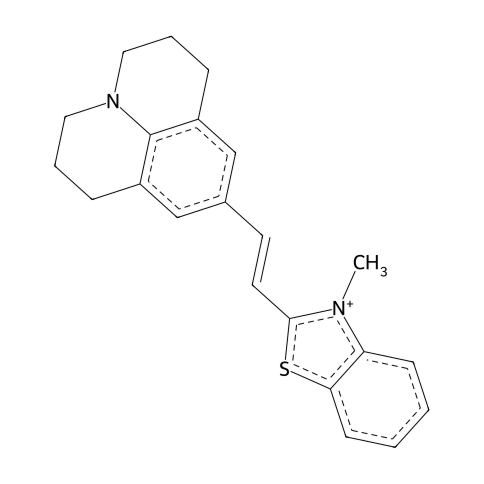 C[n+]1c(C=Cc2cc3c4c(c2)CCCN4CCC3)sc2ccccc21